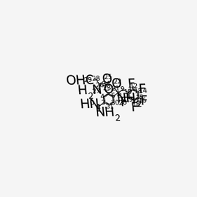 N=C(N)c1ccc(C(N)(Cc2c(F)c(F)c(F)c(F)c2F)C(=O)OC(=O)C(N)CC=O)cc1